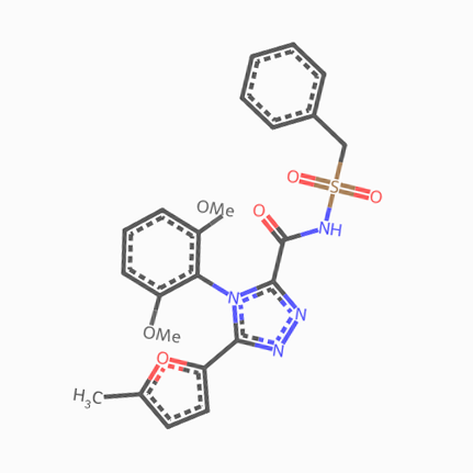 COc1cccc(OC)c1-n1c(C(=O)NS(=O)(=O)Cc2ccccc2)nnc1-c1ccc(C)o1